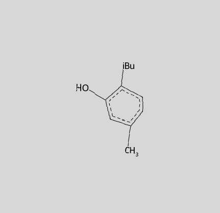 CCC(C)c1ccc(C)cc1O